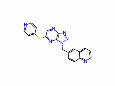 c1cnc2ccc(Cn3nnc4ncc(Sc5ccncc5)nc43)cc2c1